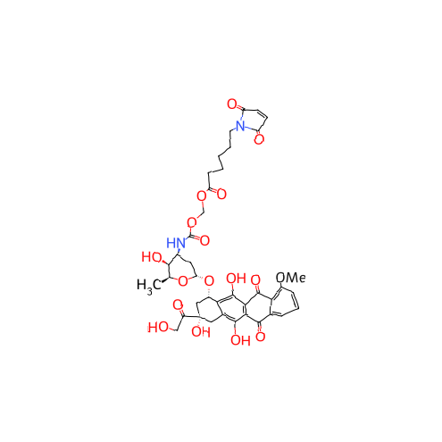 COc1cccc2c1C(=O)c1c(O)c3c(c(O)c1C2=O)C[C@@](O)(C(=O)CO)C[C@@H]3O[C@H]1C[C@H](NC(=O)OCOC(=O)CCCCCN2C(=O)C=CC2=O)[C@H](O)[C@H](C)O1